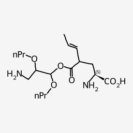 CC=CC(C[C@H](N)C(=O)O)C(=O)OC(OCCC)C(CN)OCCC